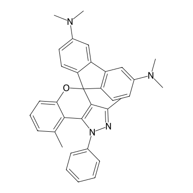 Cc1cccc2c1-c1c(c(C)nn1-c1ccccc1)C1(O2)c2ccc(N(C)C)cc2-c2cc(N(C)C)ccc21